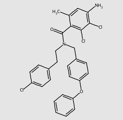 Cc1cc(N)c(Cl)c(Cl)c1C(=O)N(CCc1ccc(Cl)cc1)Cc1ccc(Oc2ccccc2)cc1